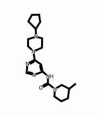 CC1CCCN(C(=O)Nc2cc(N3CCN(C4CCCC4)CC3)ncn2)C1